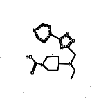 CCN(Cc1nc(-c2ccncc2)no1)C1CCN(C(=O)O)CC1